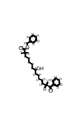 CC(C)(CCCCCC(O)CCCCCC(C)(C)C(=O)c1ccccc1)C(=O)OCc1ccccc1